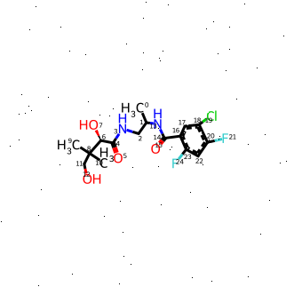 CC(CNC(=O)[C@H](O)C(C)(C)CO)NC(=O)c1cc(Cl)c(F)cc1F